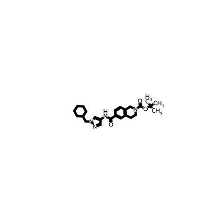 CC(C)(C)OC(=O)N1CCc2cc(C(=O)Nc3cnn(CC4CCCCC4)c3)ccc2C1